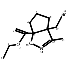 C=C(OCC)C12CCCC1(CBr)C(C)=NO2